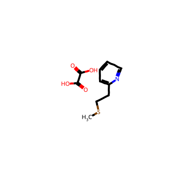 CSCCc1ccccn1.O=C(O)C(=O)O